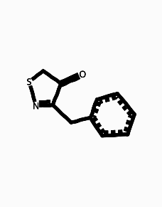 O=C1CSN=C1Cc1ccccc1